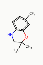 CC1(C)CNc2ccc(C(F)(F)F)cc2O1